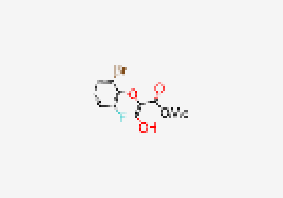 COC(=O)C(=CO)Oc1c(F)cccc1Br